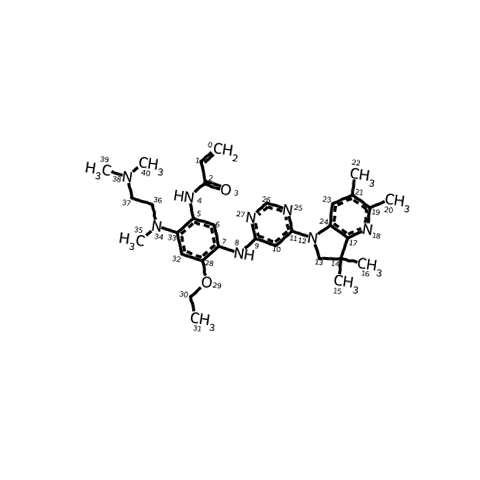 C=CC(=O)Nc1cc(Nc2cc(N3CC(C)(C)c4nc(C)c(C)cc43)ncn2)c(OCC)cc1N(C)CCN(C)C